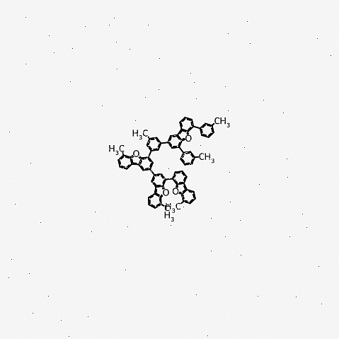 Cc1cc(-c2cc(-c3cccc(C)c3)c3oc4c(-c5cccc(C)c5)cccc4c3c2)cc(-c2cc(-c3cc(-c4cccc5c4oc4c(C)cccc45)c4oc5c(C)cccc5c4c3)cc3c2oc2c(C)cccc23)c1